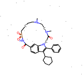 CN1CCCCS(=O)(=O)NC(=O)c2ccc3c(C4CCCCC4)c(-c4ccccc4)n(c3c2)CC(=O)N(C)CC1